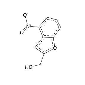 O=[N+]([O-])c1cccc2oc(CO)cc12